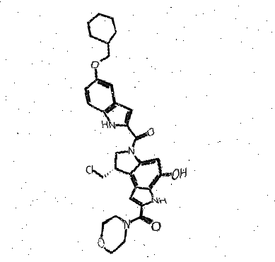 O=C(c1cc2c3c(cc(O)c2[nH]1)N(C(=O)c1cc2cc(OCC4CCCCC4)ccc2[nH]1)C[C@H]3CCl)N1CCOCC1